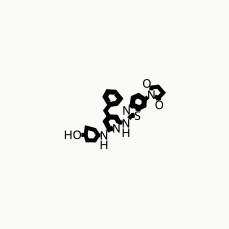 O=C1CCC(=O)N1c1ccc2nc(Nc3cc(Cc4ccccc4)cc(NC4CCC(O)CC4)n3)sc2c1